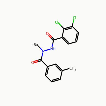 Cc1cccc(C(=O)N(NC(=O)c2cccc(Cl)c2Cl)C(C)(C)C)c1